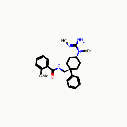 CCCN(C(N)=NC#N)[C@H]1CC[C@](CNC(=O)c2ccccc2OC)(c2ccccc2)CC1